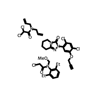 C#CCOc1cc(-n2nc3n(c2=O)CCCC3)c(Cl)cc1Cl.C=CCN(CC=C)C(=O)C(Cl)Cl.CCc1cccc(CC)c1N(COC)C(=O)CCl